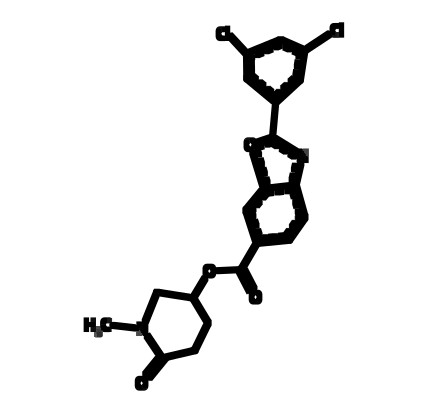 CN1CC(OC(=O)c2ccc3nc(-c4cc(Cl)cc(Cl)c4)oc3c2)CCC1=O